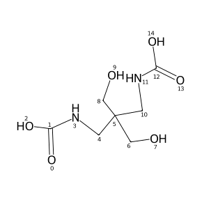 O=C(O)NCC(CO)(CO)CNC(=O)O